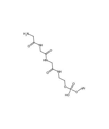 [CH2][CH]COP(=O)(O)OCCNC(=O)CNC(=O)CNC(=O)CN